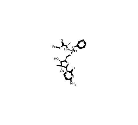 CC(C)OC(=O)[C@H](C)N[P@@](=O)(OC[C@H]1O[C@@H](n2ccc(N)nc2=O)[C@](C)(C#N)[C@@H]1O)Oc1ccccc1